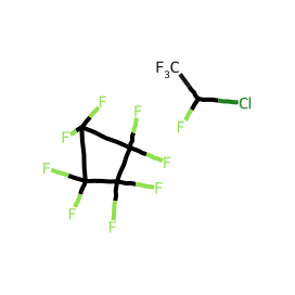 FC(Cl)C(F)(F)F.FC1(F)C(F)(F)C(F)(F)C1(F)F